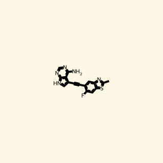 Cc1nc2cc(C#Cc3c[nH]c4ncnc(N)c34)c(F)cc2s1